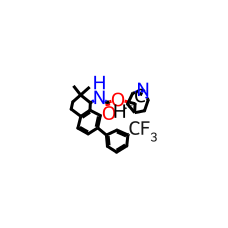 CC1(C)CCc2ccc(-c3cccc(C(F)(F)F)c3)cc2C1NC(=O)O[C@H]1CN2CCC1CC2